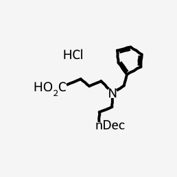 CCCCCCCCCCCCN(CCCC(=O)O)Cc1ccccc1.Cl